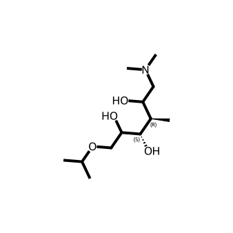 CC(C)OCC(O)[C@@H](O)[C@H](C)C(O)CN(C)C